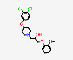 COc1ccccc1OCC(O)CN1CCC(Oc2ccc(Cl)c(Cl)c2)CC1